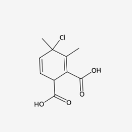 CC1=C(C(=O)O)C(C(=O)O)C=CC1(C)Cl